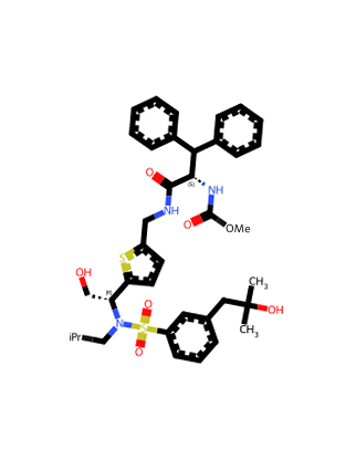 COC(=O)N[C@H](C(=O)NCc1ccc([C@@H](CO)N(CC(C)C)S(=O)(=O)c2cccc(CC(C)(C)O)c2)s1)C(c1ccccc1)c1ccccc1